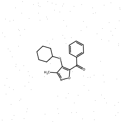 Cc1noc(C(=O)c2ccccc2)c1SC1CCCCC1